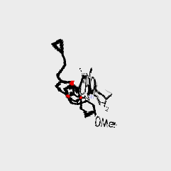 COC1CCC2(CC1)Cc1ccc(CCC3CC3)cc1[C@@]2(C=O)/N=C(/N)N(C)[C@@H](C)c1ccccc1